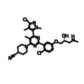 CNC[C@@H](O)COc1ccc(Cl)c(-c2nc(-c3c(C)c(Cl)nn3C)c(C)c(N3CCC(C#N)CC3)n2)c1